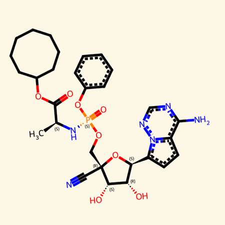 C[C@H](N[P@](=O)(OC[C@@]1(C#N)O[C@@H](c2ccc3c(N)ncnn23)[C@H](O)[C@@H]1O)Oc1ccccc1)C(=O)OC1CCCCCCC1